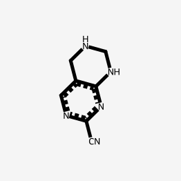 N#Cc1ncc2c(n1)NCNC2